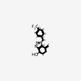 C=C1CC[C@@H](O)c2nnn(Cc3ccc(C(F)(F)F)cc3)c21